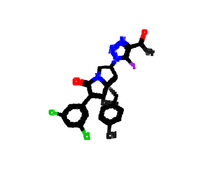 COC1=C(c2cc(Cl)cc(Cl)c2)C(=O)N2C[C@@H](n3nnc(C(=O)C(C)C)c3I)C[C@@]12Cc1ccc(C#N)cc1